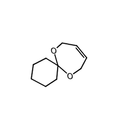 C1=CCOC2(CCCCC2)OC1